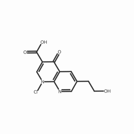 O=C(O)c1cn(Cl)c2ncc(CCO)cc2c1=O